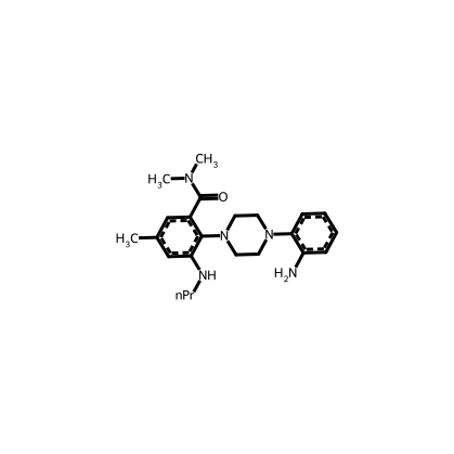 CCCNc1cc(C)cc(C(=O)N(C)C)c1N1CCN(c2ccccc2N)CC1